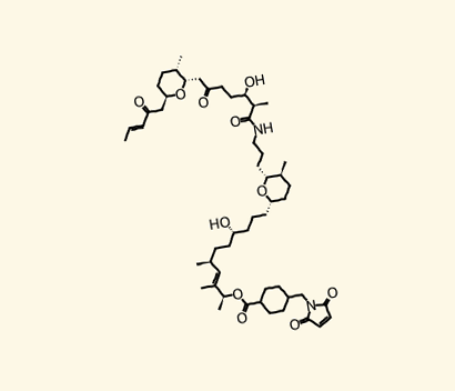 C/C=C/C(=O)C[C@H]1CC[C@H](C)[C@H](CC(=O)CC[C@@H](O)[C@@H](C)C(=O)NCCC[C@H]2O[C@@H](CCC[C@@H](O)CC[C@H](C)/C=C(\C)[C@H](C)OC(=O)C3CCC(CN4C(=O)C=CC4=O)CC3)CC[C@@H]2C)O1